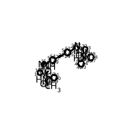 CS(=O)(=O)N[C@@H](C(=O)N1CCC[C@H]1c1ncc(-c2ccc(C#Cc3ccc(-c4cnc([C@@H]5CCCN5C(=O)[C@@H](c5ccccc5)N5CCCCC5)[nH]4)cc3)cc2)[nH]1)c1ccccc1